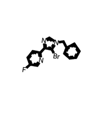 Fc1ccc(-c2ncn(Cc3ccccc3)c2Br)nc1